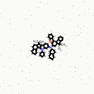 CC1(C)c2ccccc2-c2c1cc(N(c1ccc3ccccc3c1)c1ccc3c4c(n(-c5ccccc5)c3c1)-c1c(ccc3ccccc13)C4(C)C)c1oc3ccccc3c21